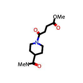 CNC(=O)C1CCN(C(=O)CCC(=O)OC)CC1